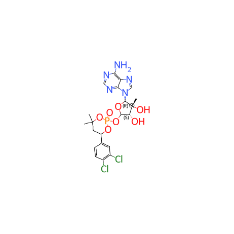 CC1(C)CC(c2ccc(Cl)c(Cl)c2)OP(=O)(OC2O[C@@H](n3cnc4c(N)ncnc43)[C@](C)(O)[C@@H]2O)O1